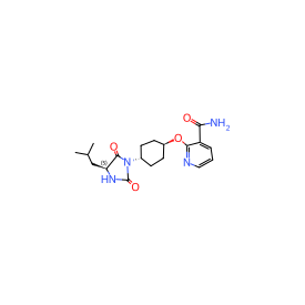 CC(C)C[C@@H]1NC(=O)N([C@H]2CC[C@H](Oc3ncccc3C(N)=O)CC2)C1=O